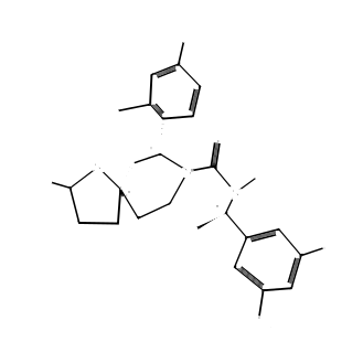 Cc1cc(F)ccc1[C@H]1C[C@@]2(CCC(C(=O)O)N2)CCN1C(=O)N(C)[C@H](C)c1cc(C(F)(F)F)cc(C(F)(F)F)c1